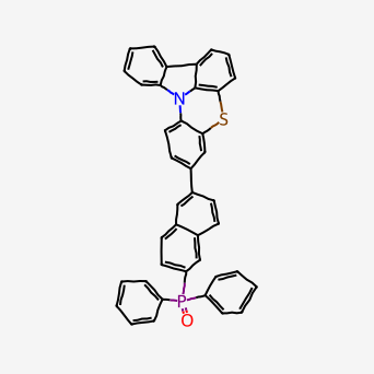 O=P(c1ccccc1)(c1ccccc1)c1ccc2cc(-c3ccc4c(c3)Sc3cccc5c6ccccc6n-4c35)ccc2c1